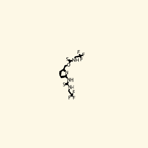 FC(F)(F)CNC(=S)Nc1cccc(COC(=S)NCC(F)(F)F)n1